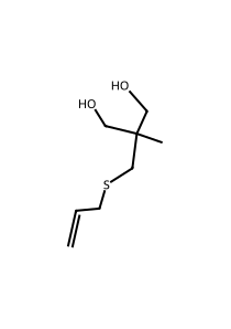 C=CCSCC(C)(CO)CO